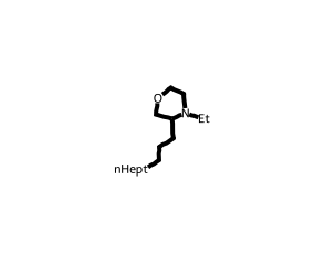 CCCCCCCCCCC1COCCN1CC